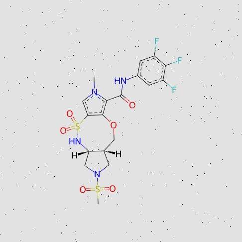 Cn1cc2c(c1C(=O)Nc1cc(F)c(F)c(F)c1)OC[C@@H]1CN(S(C)(=O)=O)C[C@@H]1NS2(=O)=O